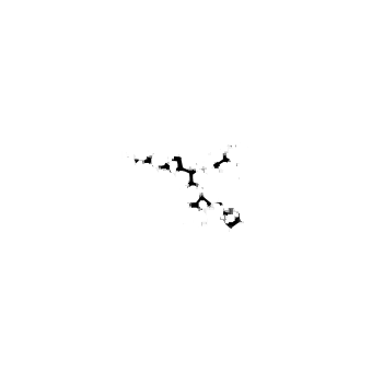 CC(C)(C)OC(=O)Nc1nc(C(=NOC(C)(C)C(=O)OC(C)(C)C)C(=O)N[C@@H]2C(=O)N(S(=O)(=O)O)[C@@H]2Cn2nccn2)cs1